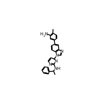 Cc1ccc(-c2ccc3c(c2)ncn3-c2ccnc(NC(C)c3ccccc3)n2)cc1N